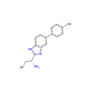 CC(C)C[C@@H](N)c1nc2cc(-c3ccc(C#N)cc3)ccc2[nH]1